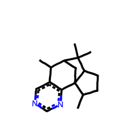 CC1c2cncnc2C23CC1C(C)(C)C2CCC3C